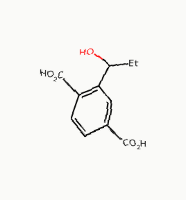 CCC(O)c1cc(C(=O)O)ccc1C(=O)O